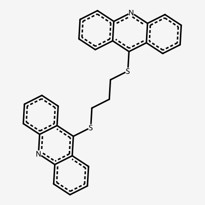 c1ccc2c(SCCCSc3c4ccccc4nc4ccccc34)c3ccccc3nc2c1